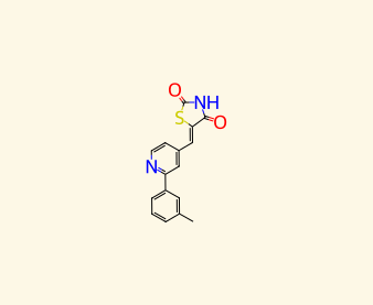 Cc1cccc(-c2cc(/C=C3\SC(=O)NC3=O)ccn2)c1